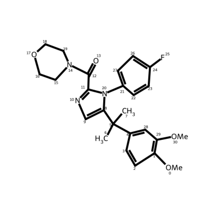 COc1ccc(C(C)(C)c2cnc(C(=O)N3CCOCC3)n2-c2ccc(F)cc2)cc1OC